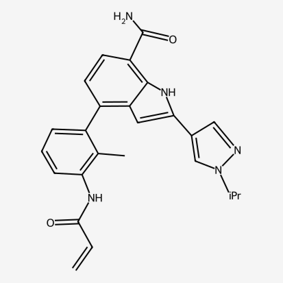 C=CC(=O)Nc1cccc(-c2ccc(C(N)=O)c3[nH]c(-c4cnn(C(C)C)c4)cc23)c1C